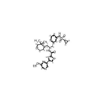 CCOc1cncc(-c2cnc(C(=O)N[C@H](Cc3cc(NS(=O)(=O)C4CC4)ccn3)CN3CCOCC3(C)C)s2)n1